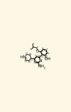 CC(C)COc1cccc(O)c1-c1cc(C2CCNCC2)nc(N)n1